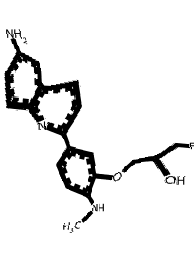 CNc1ccc(-c2ccc3cc(N)ccc3n2)cc1OCC(O)CF